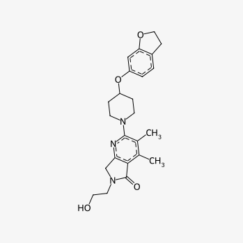 Cc1c(N2CCC(Oc3ccc4c(c3)OCC4)CC2)nc2c(c1C)C(=O)N(CCO)C2